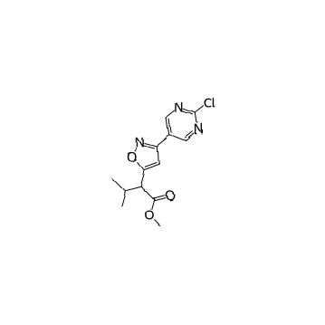 COC(=O)C(c1cc(-c2cnc(Cl)nc2)no1)C(C)C